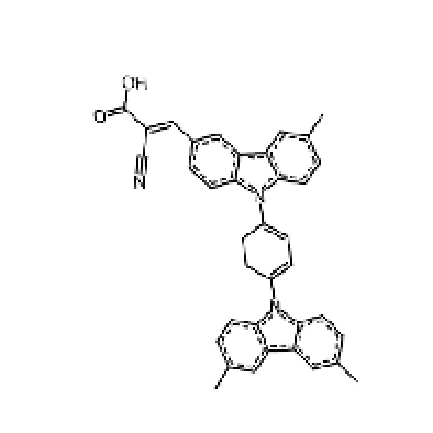 Cc1ccc2c(c1)c1cc(C)ccc1n2C1=CC=C(n2c3ccc(C)cc3c3cc(/C=C(\C#N)C(=O)O)ccc32)CC1